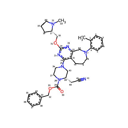 Cc1ccccc1N1CCCc2c(nc(OC[C@@H]3CCCN3C)nc2N2CCN(C(=O)OCc3ccccc3)[C@@H](CC#N)C2)C1